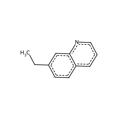 CCc1[c]cc2cccnc2c1